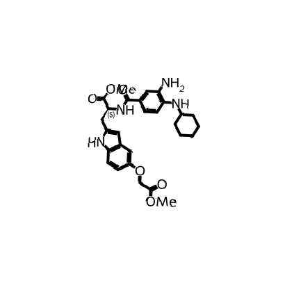 COC(=O)COc1ccc2[nH]c(C[C@H](NC(=O)c3ccc(NC4CCCCC4)c(N)c3)C(=O)OC)cc2c1